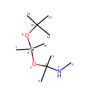 CNC(C)(C)O[Si](C)(C)OC(C)(C)C